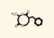 CC1CC(=O)OCCC(Cc2ccccc2)C(=O)O1